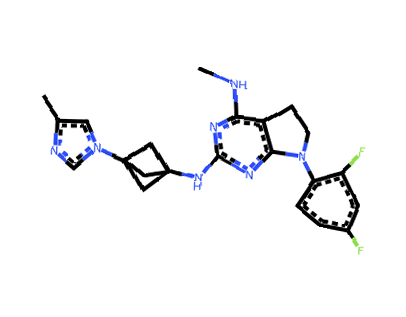 CNc1nc(NC23CC(n4cnc(C)c4)(C2)C3)nc2c1CCN2c1ccc(F)cc1F